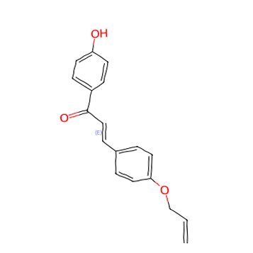 C=CCOc1ccc(/C=C/C(=O)c2ccc(O)cc2)cc1